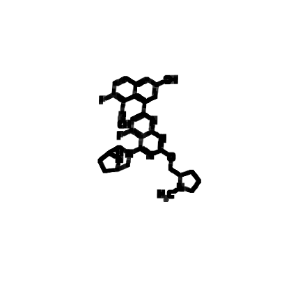 C#Cc1c(F)ccc2cc(O)cc(-c3cc(F)c4c(N5CC6CCC(C5)N6)nc(OCC5CCCN5C)nc4n3)c12